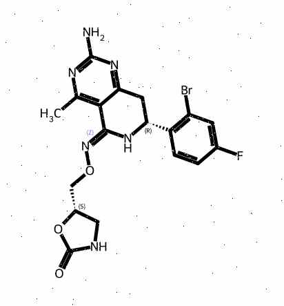 Cc1nc(N)nc2c1/C(=N/OC[C@@H]1CNC(=O)O1)N[C@@H](c1ccc(F)cc1Br)C2